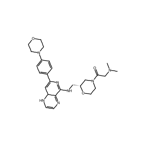 CN(C)CC(=O)N1CCO[C@H](CNC2=NC(c3ccc(N4CCOCC4)cc3)=CC3NC=CN=C23)C1